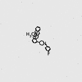 CS(=O)(=O)N(Cc1ccccc1)Cc1ccccc1C1CCN(Cc2ccc(F)cc2)CC1